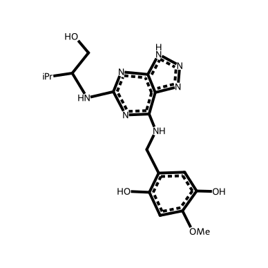 COc1cc(O)c(CNc2nc(NC(CO)C(C)C)nc3[nH]nnc23)cc1O